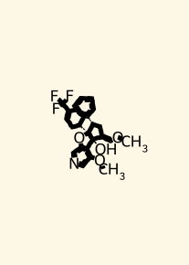 CO/C=C1\C[C@@H](c2ccccc2)[C@]2(C3C=CC(C(F)(F)F)=CC3)Oc3cncc(OC)c3[C@]12O